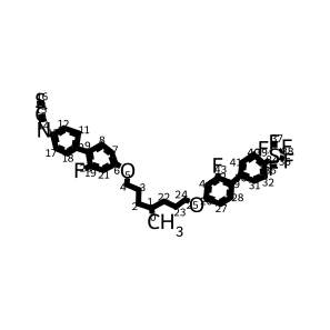 CC(CCCOc1ccc(-c2ccc(N=C=S)cc2)c(F)c1)CCCOc1ccc(-c2ccc(S(F)(F)(F)(F)F)cc2)c(F)c1